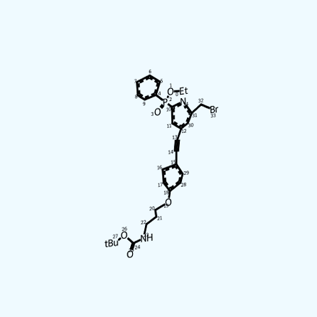 CCOP(=O)(c1ccccc1)c1cc(C#Cc2ccc(OCCCNC(=O)OC(C)(C)C)cc2)cc(CBr)n1